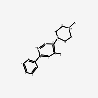 Cc1cc(-c2ccccc2)nnc1N1CCN(C)CC1